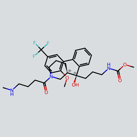 CNCCCC(=O)N1CCC[C@@H]([C@@](O)(CCCNC(=O)OC)c2ccccc2-c2cc(C(F)(F)F)ccc2OC)C1